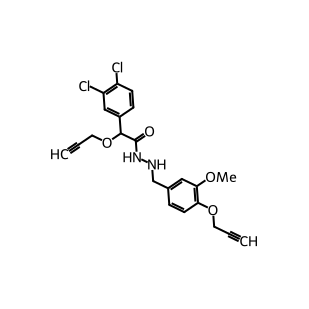 C#CCOc1ccc(CNNC(=O)C(OCC#C)c2ccc(Cl)c(Cl)c2)cc1OC